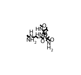 C=C(N)NCCC[C@H](NC(=O)[C@@H](NC(C)=O)C(C)C)C(=O)NC(C)(C)C(N)=O